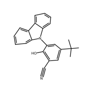 CC(C)(C)c1cc(C#N)c(O)c(-n2c3ccccc3c3ccccc32)c1